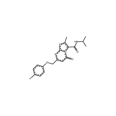 Cc1sc2nc(COc3ccc(F)cc3)cc(=O)n2c1C(=O)NC(C)C